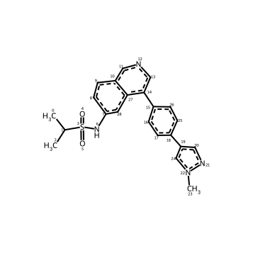 CC(C)S(=O)(=O)Nc1ccc2cncc(-c3ccc(-c4cnn(C)c4)cc3)c2c1